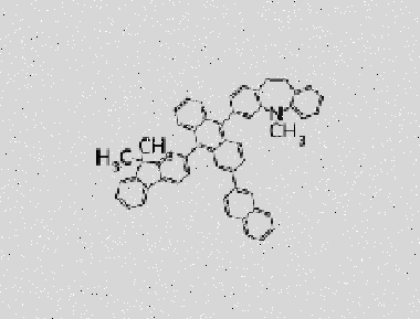 CN1c2ccccc2C=Cc2ccc(-c3c4ccccc4c(-c4ccc5c(c4)C(C)(C)c4ccccc4-5)c4cc(-c5ccc6ccccc6c5)ccc34)cc21